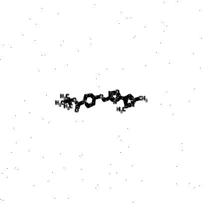 Cc1nn(C)cc1-c1nc(COC2CCN(C(=O)OC(C)(C)C)CC2)no1